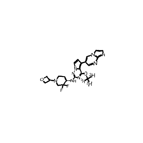 [2H]C([2H])([2H])Oc1nc(N[C@@H]2CCN(C3COC3)CC2(F)F)nn2ccc(-c3cnc4nccn4c3)c12